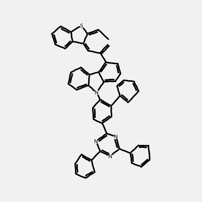 C=C(/C=c1\c(=C/C)sc2ccccc12)c1cccc2c1c1ccccc1n2-c1ccc(-c2nc(-c3ccccc3)nc(-c3ccccc3)n2)cc1-c1ccccc1